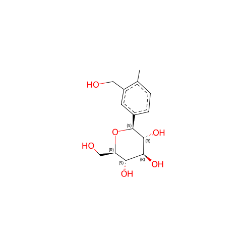 Cc1ccc([C@@H]2O[C@H](CO)[C@@H](O)[C@H](O)[C@H]2O)cc1CO